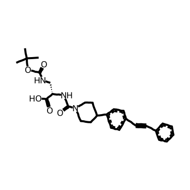 CC(C)(C)OC(=O)NC[C@H](NC(=O)N1CCC(c2ccc(C#Cc3ccccc3)cc2)CC1)C(=O)O